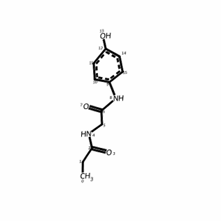 CCC(=O)NCC(=O)Nc1ccc(O)cc1